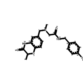 CC1Oc2ccc(CN(C)CC(=O)NCc3ccc(Cl)cc3)cc2NC1=O